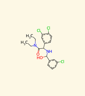 CCN(CC)C(=O)C(NC(O)c1cccc(Cl)c1)c1ccc(Cl)c(Cl)c1